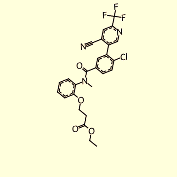 CCOC(=O)CCOc1ccccc1N(C)C(=O)c1ccc(Cl)c(-c2cnc(C(F)(F)F)cc2C#N)c1